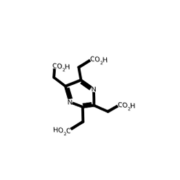 O=C(O)Cc1nc(CC(=O)O)c(CC(=O)O)nc1CC(=O)O